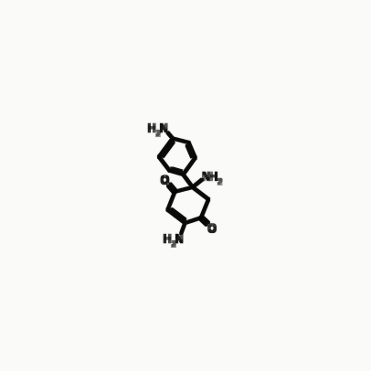 NC1=CC(=O)C(N)(c2ccc(N)cc2)CC1=O